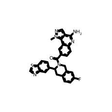 Cn1ncc2c(N)nc3ccc(C(=O)N4Cc5cc(F)ccc5CC4c4ccc5scnc5c4)cc3c21